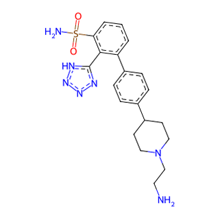 NCCN1CCC(c2ccc(-c3cccc(S(N)(=O)=O)c3-c3nnn[nH]3)cc2)CC1